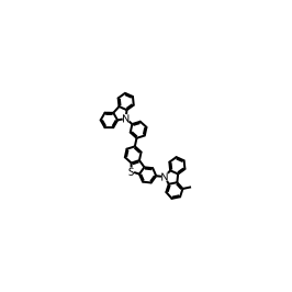 Cc1cccc2c1c1ccccc1n2-c1ccc2sc3ccc(-c4cccc(-n5c6ccccc6c6ccccc65)c4)cc3c2c1